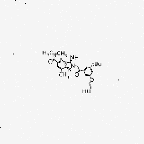 Cc1cc(C(=O)N(C)C)nn2c(=N)n(CC(=O)c3cc(OCCO)cc(C(C)(C)C)c3)nc12